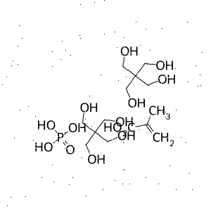 C=C(C)C(=O)O.O=P(O)(O)O.OCC(CO)(CO)CO.OCC(CO)(CO)CO